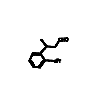 CCCc1ccccc1C(C)CC=O